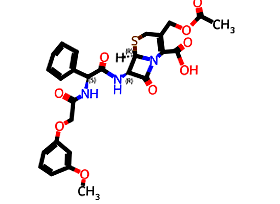 COc1cccc(OCC(=O)N[C@H](C(=O)N[C@@H]2C(=O)N3C(C(=O)O)=C(COC(C)=O)CS[C@H]23)c2ccccc2)c1